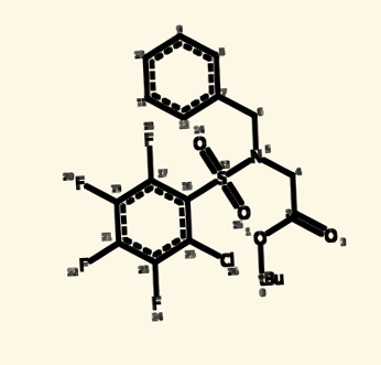 CC(C)(C)OC(=O)CN(Cc1ccccc1)S(=O)(=O)c1c(F)c(F)c(F)c(F)c1Cl